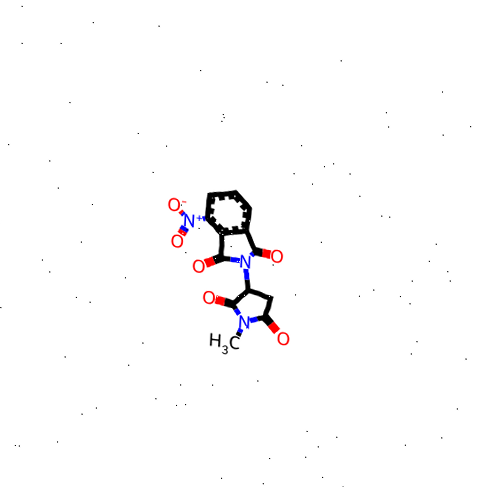 CN1C(=O)CC(N2C(=O)c3cccc([N+](=O)[O-])c3C2=O)C1=O